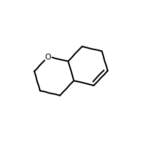 C1=CC2CCCOC2CC1